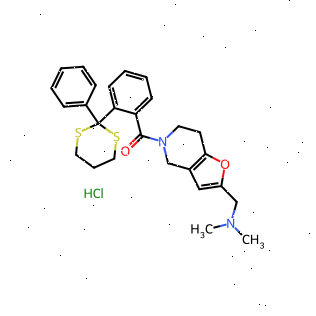 CN(C)Cc1cc2c(o1)CCN(C(=O)c1ccccc1C1(c3ccccc3)SCCCS1)C2.Cl